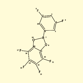 Fc1cc(F)cc(B2Oc3c(F)c(F)c(F)c(F)c3O2)c1